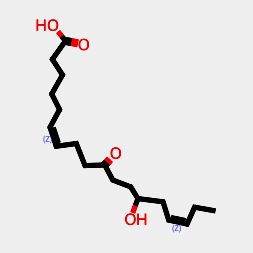 CC/C=C\CC(O)CCC(=O)CC/C=C\CCCCC(=O)O